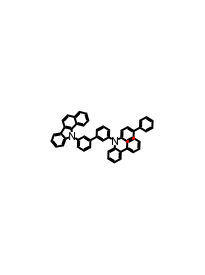 c1ccc(-c2ccc(N(c3cccc(-c4cccc(-n5c6ccccc6c6ccc7ccccc7c65)c4)c3)c3ccccc3-c3ccccc3)cc2)cc1